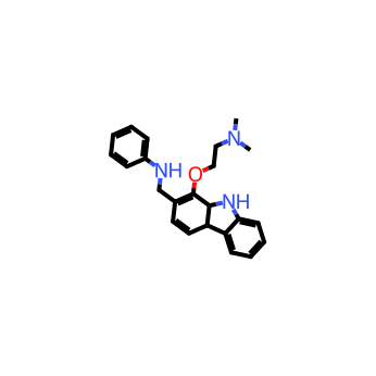 CN(C)CCOC1=C(CNc2ccccc2)C=CC2c3ccccc3NC12